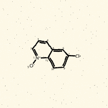 [O-][n+]1cccc2cc(Cl)ccc21